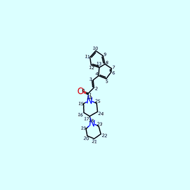 O=C(/C=C/c1cccc2ccccc12)N1CCC(N2CCCCC2)CC1